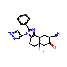 C[C@@H]1C(=O)C(C#N)C[C@]2(C)c3nc(-c4ccccc4)n(-c4cnn(C)c4)c3CC[C@@H]12